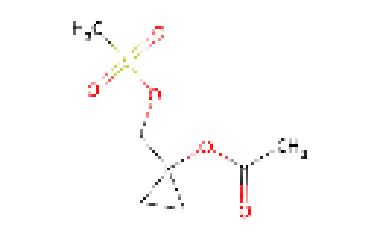 CC(=O)OC1(COS(C)(=O)=O)CC1